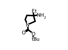 CCC1(N)CCN(C(=O)OC(C)(C)C)C1